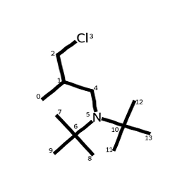 CC(CCl)CN(C(C)(C)C)C(C)(C)C